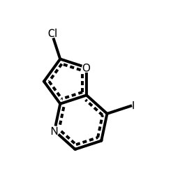 Clc1cc2nccc(I)c2o1